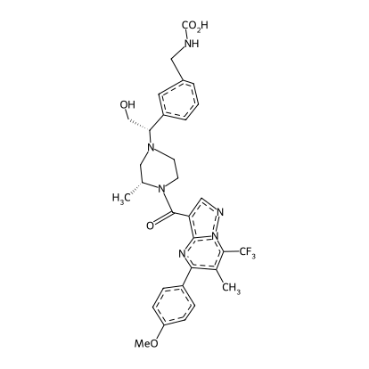 COc1ccc(-c2nc3c(C(=O)N4CCN([C@H](CO)c5cccc(CNC(=O)O)c5)C[C@H]4C)cnn3c(C(F)(F)F)c2C)cc1